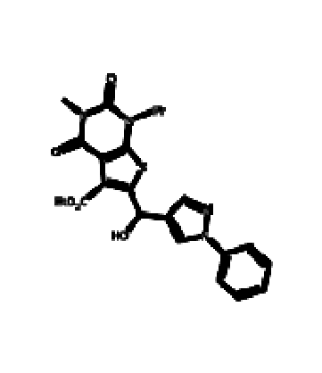 CCOC(=O)c1c(C(O)c2cnn(-c3ccccc3)c2)sc2c1c(=O)n(C)c(=O)n2C(C)C